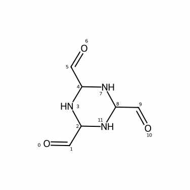 O=CC1NC(C=O)NC(C=O)N1